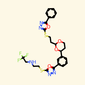 FC(F)(F)CNCCSc1nnc(-c2cccc(C3CCOC(CCSc4nnc(-c5ccccc5)o4)O3)c2)o1